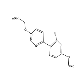 CCCCCCCCCCCOc1ccc(-c2ccc(OCCCCCCCCCC)cc2F)nc1